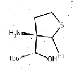 CCC1SCC[C@@]1(N)[C@H](O)C(C)(C)C